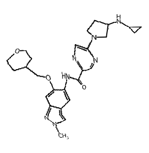 Cn1cc2cc(NC(=O)c3cnc(N4CCC(NC5CC5)C4)cn3)c(OCC3CCOCC3)cc2n1